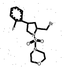 O=S(=O)(N1CCOCC1)N1CC(c2ccccc2F)CC1CBr